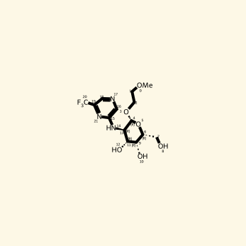 COCCO[C@@H]1O[C@H](CO)[C@H](O)[C@H](O)[C@H]1Nc1cncc(C(F)(F)F)n1